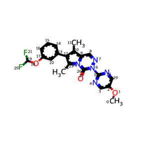 COc1cnc(-n2ncc3c(C)c(-c4cccc(OC(F)F)c4)c(C)n3c2=O)nc1